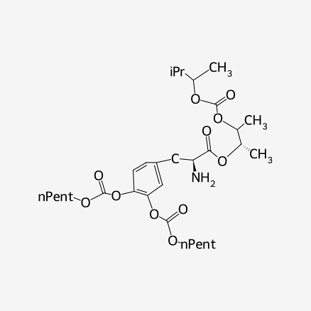 CCCCCOC(=O)Oc1ccc(C[C@H](N)C(=O)O[C@@H](C)C(C)OC(=O)OC(C)C(C)C)cc1OC(=O)OCCCCC